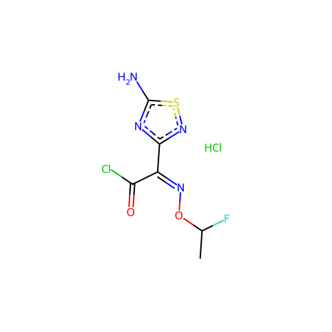 CC(F)ON=C(C(=O)Cl)c1nsc(N)n1.Cl